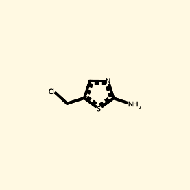 Nc1ncc(CCl)s1